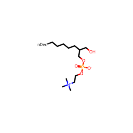 CCCCCCCCCCCCCCCC(CO)COP(=O)([O-])OCC[N+](C)(C)C